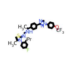 Cc1cs/c(=N\CNC(C)c2ccc(-c3ncn(-c4ccc(OC(F)(F)F)cc4)n3)cc2)n1-c1ccc(F)cc1C(C)C